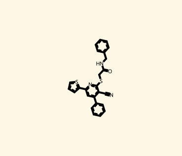 N#Cc1c(-c2ccccc2)cc(-c2cccs2)nc1SCC(=O)NCc1ccccc1